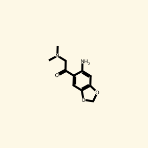 CN(C)CC(=O)c1cc2c(cc1N)OCO2